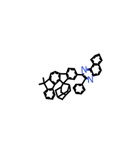 CC1(C)c2ccccc2-c2c1ccc1c2C2(c3cc(-c4nc5c(ccc6ccccc65)nc4-c4ccccc4)ccc3-1)C1CC3CC(C1)CC2C3